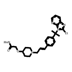 CCc1nc2cccnc2n1C(C)(C)c1ccc(C=CCN2CCC(OCC(=O)NC)CC2)cc1